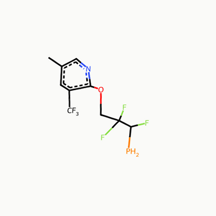 Cc1cnc(OCC(F)(F)C(F)P)c(C(F)(F)F)c1